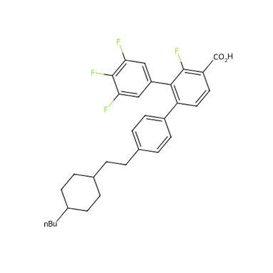 CCCCC1CCC(CCc2ccc(-c3ccc(C(=O)O)c(F)c3-c3cc(F)c(F)c(F)c3)cc2)CC1